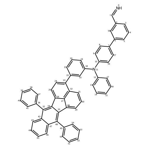 N=Cc1cccc(-c2ccc(N(c3ccccc3)c3cccc(-c4ccc5c6c(cccc46)-c4c-5c(-c5ccccc5)c5ccccc5c4-c4ccccc4)c3)cc2)c1